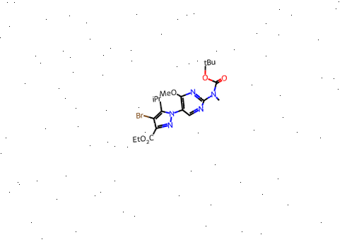 CCOC(=O)c1nn(-c2cnc(N(C)C(=O)OC(C)(C)C)nc2OC)c(C(C)C)c1Br